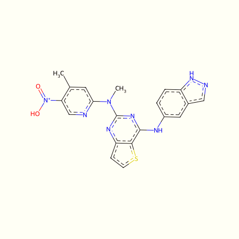 Cc1cc(N(C)c2nc(Nc3ccc4[nH]ncc4c3)c3sccc3n2)ncc1[N+](=O)O